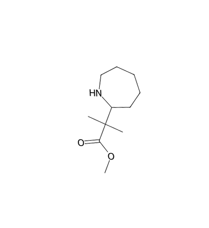 COC(=O)C(C)(C)C1CCCCCN1